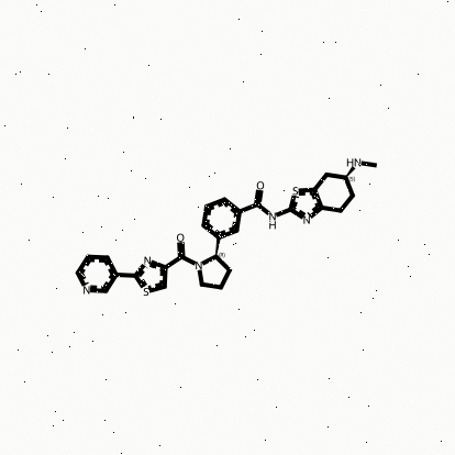 CN[C@H]1CCc2nc(NC(=O)c3cccc([C@H]4CCCN4C(=O)c4csc(-c5cccnc5)n4)c3)sc2C1